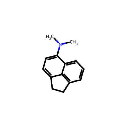 CN(C)c1ccc2c3c(cccc13)CC2